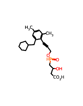 Cc1cc(C)c(C#CCO[PH](=O)CC(O)CC(=O)O)c(CC2CCCCC2)c1